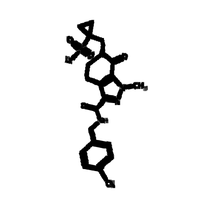 CCS(=O)(=O)C1(CN2CCc3c(C(=O)NCc4ccc(C#N)cc4)nn(C)c3C2=O)CC1